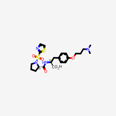 CN(C)CCCOc1ccc(C[C@H](NC(=O)[C@@H]2CCCN2S(=O)(=O)c2nccs2)C(=O)O)cc1